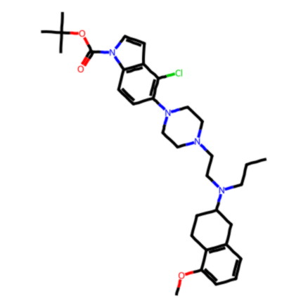 CCCN(CCN1CCN(c2ccc3c(ccn3C(=O)OC(C)(C)C)c2Cl)CC1)C1CCc2c(cccc2OC)C1